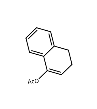 CC(=O)OC1=CCCc2ccccc21